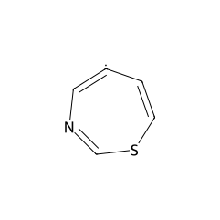 [C]1=CN=CSC=C1